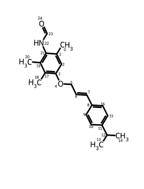 Cc1cc(OCC=Cc2ccc(C(C)C)cc2)c(C)c(C)c1NC=O